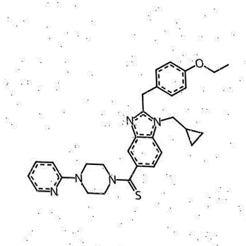 CCOc1ccc(Cc2nc3cc(C(=S)N4CCN(c5ccccn5)CC4)ccc3n2CC2CC2)cc1